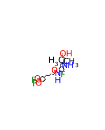 CC(C)(CCO)c1cc2cc(NC(=O)CCCCc3ccc4c(c3)OC(F)(F)O4)c(F)cc2[nH]1